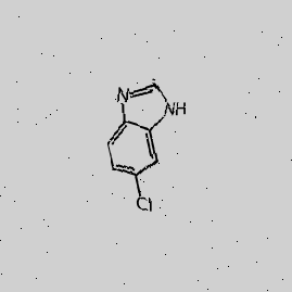 Clc1ccc2n[c][nH]c2c1